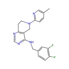 Cc1ccc(N2CCc3ncnc(NCc4ccc(F)c(F)c4)c3C2)nc1